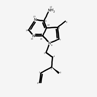 C=C[C@H](C)CCn1cc(C)c2c(N)ncnc21